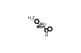 Cc1ccc(S(=O)(=O)NC(=O)c2c[nH]c3ccccc23)cc1